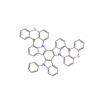 c1ccc(-n2c3ccccc3c3c2c2c4cccc5c4n(c2c2c4cccc6c4n(c32)-c2cccc3c2B6c2ccccc2S3)-c2cccc3c2B5c2ccccc2S3)cc1